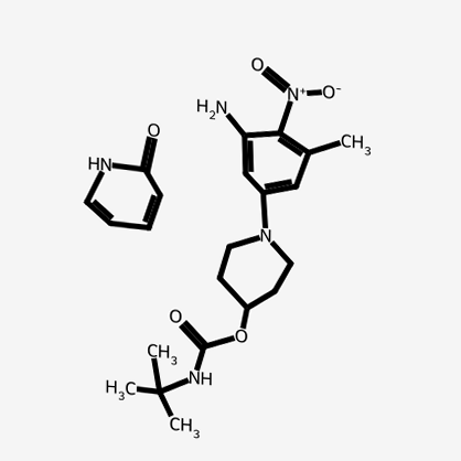 Cc1cc(N2CCC(OC(=O)NC(C)(C)C)CC2)cc(N)c1[N+](=O)[O-].O=c1cccc[nH]1